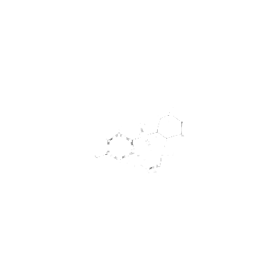 Cc1ccc(S(=O)(=O)C2CCCNC2)cc1.O=C(O)/C=C\C(=O)O